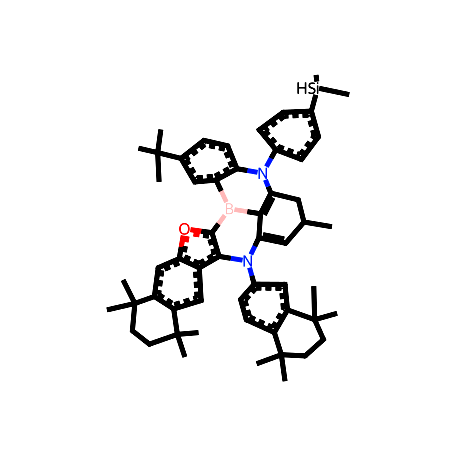 CC1C=C2C3=C(C1)N(c1ccc([SiH](C)C)cc1)c1ccc(C(C)(C)C)cc1B3c1oc3cc4c(cc3c1N2c1ccc2c(c1)C(C)(C)CCC2(C)C)C(C)(C)CCC4(C)C